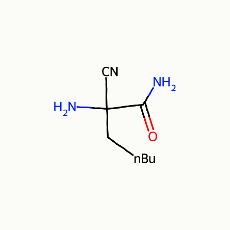 CCCCCC(N)(C#N)C(N)=O